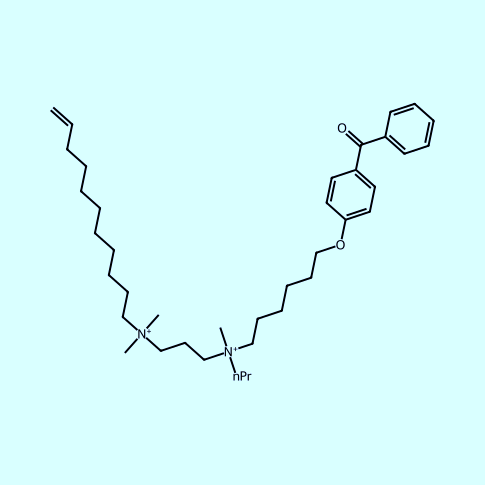 C=CCCCCCCCCC[N+](C)(C)CCC[N+](C)(CCC)CCCCCCOc1ccc(C(=O)c2ccccc2)cc1